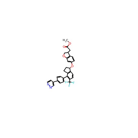 COC(=O)CC1COc2cc(O[C@@H]3CCc4c3ccc(C(F)(F)F)c4-c3ccc(-c4ccnnc4)cc3)ccc21